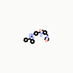 Cc1ccc(CN2CCOCC2)cc1NC(=O)c1ccc(Nc2nc(-c3ccccc3)c3ccccc3n2)cc1